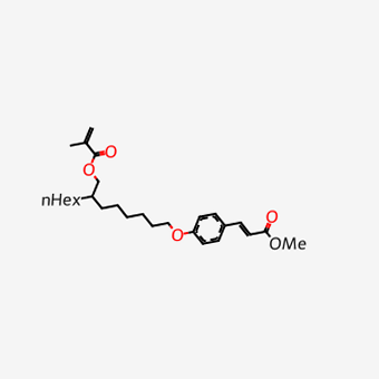 C=C(C)C(=O)OCC(CCCCCC)CCCCCCOc1ccc(C=CC(=O)OC)cc1